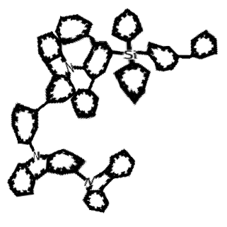 c1ccc(-c2ccc([Si](c3ccccc3)(c3ccccc3)c3cc(-c4ccccc4)c(-n4c5ccccc5c5cc(-c6cccc(-n7c8ccccc8c8cc(-n9c%10ccccc%10c%10ccccc%109)ccc87)c6)ccc54)c(-c4ccccc4)c3)cc2)cc1